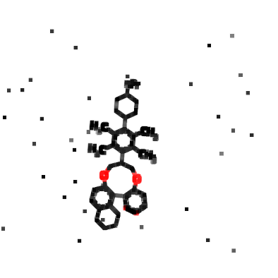 CCCC1CCC(c2c(C)c(C)c(C3COc4ccc5c(c4-c4c(ccc6c4CCCC6)OC3)CCCC5)c(C)c2C)CC1